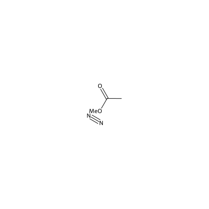 COC(C)=O.N#N